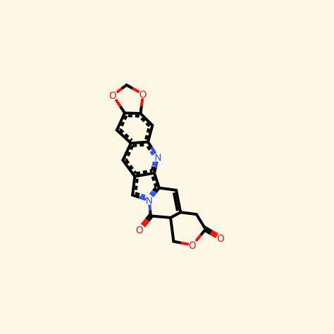 O=C1CC2=Cc3c4nc5cc6c(cc5cc4cn3C(=O)C2CO1)OCO6